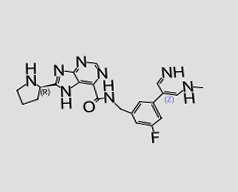 CN/C=C(\C=N)c1cc(F)cc(CNC(=O)c2ncnc3nc([C@H]4CCCN4)[nH]c23)c1